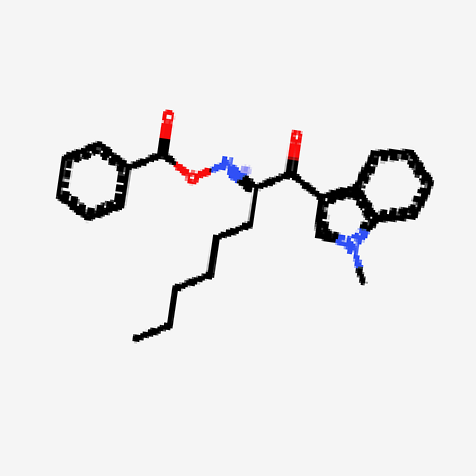 CCCCCC/C(=N\OC(=O)c1ccccc1)C(=O)c1cn(C)c2ccccc12